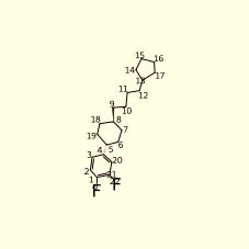 Fc1ccc([C@H]2CC[C@H](CCCCC3CCCC3)CC2)cc1F